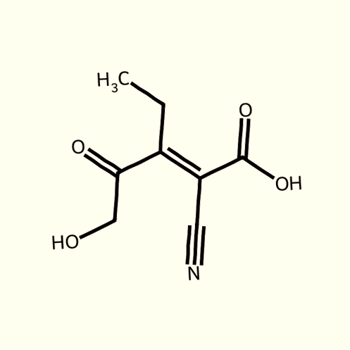 CCC(C(=O)CO)=C(C#N)C(=O)O